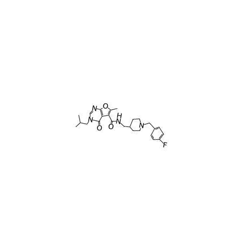 Cc1oc2ncn(CC(C)C)c(=O)c2c1C(=O)NCC1CCN(Cc2ccc(F)cc2)CC1